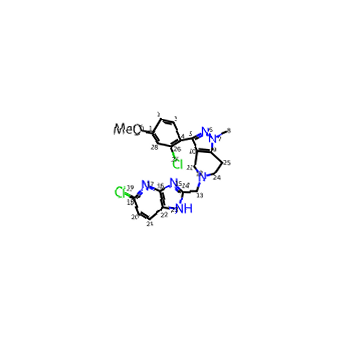 COc1ccc(-c2nn(C)c3c2CN(Cc2nc4nc(Cl)ccc4[nH]2)CC3)c(Cl)c1